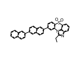 CCc1nc2cccc3c2n1-c1cc(-c2ccc4cc(-c5ccc6ccccc6c5)ccc4c2)ccc1S3(=O)=O